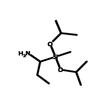 CCC(N)[Si](C)(OC(C)C)OC(C)C